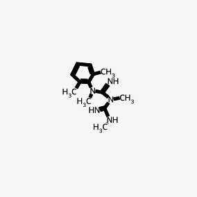 CNC(=N)N(C)C(=N)N(C)c1c(C)cccc1C